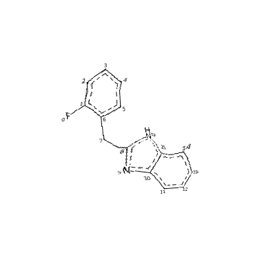 Fc1ccccc1Cc1nc2ccccc2[nH]1